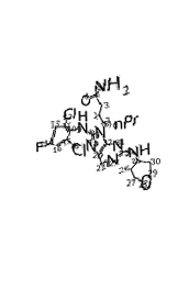 CCC[C@@H](CCC(N)=O)n1c(Nc2c(Cl)cc(F)cc2Cl)nc2cnc(NC3CCOCC3)nc21